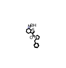 O=C(C1=CSC2/C(=N\O)CCCC12)N1CCCC1Cc1ccccc1